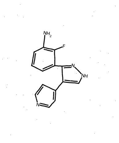 Nc1cccc(-c2n[nH]cc2-c2ccncc2)c1F